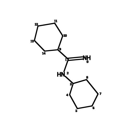 N=C(NC1CCCCC1)C1CCCCC1